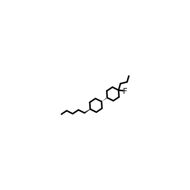 CCCCC[C@H]1CC[C@H](C2CCC(F)(CCC)CC2)CC1